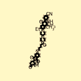 CCc1cc2c(cc1N1CCC(N3CCN(C(=O)CCCCSc4ccc5c(c4)C(=O)N(C4CCC(=O)NC4=O)C5=O)CC3)CC1)C(C)(C)c1[nH]c3cc(C#N)ccc3c1C2=O